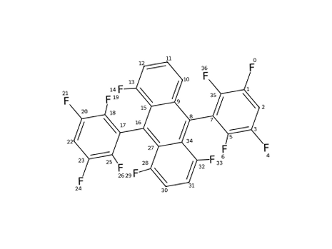 Fc1cc(F)c(F)c(-c2c3cccc(F)c3c(-c3c(F)c(F)cc(F)c3F)c3c(F)ccc(F)c23)c1F